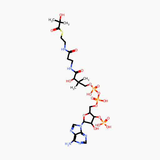 CC(C)(O)C(=O)SCCNC(=O)CCNC(=O)C(O)C(C)(C)COP(=O)(O)OP(=O)(O)OCC1OC(n2cnc3c(N)ncnc32)C(O)C1OP(=O)(O)O